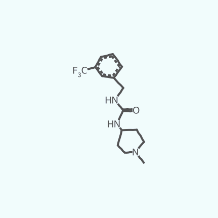 CN1CCC(NC(=O)NCc2cccc(C(F)(F)F)c2)CC1